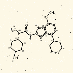 COc1ccc(C2CCOCC2)c2sc(NC(=O)N(C)[C@H]3CC[C@H](O)CC3)nc12